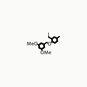 COc1cc(COc2ccc(C)cc2CI)cc(OC)c1